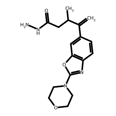 C=C(c1ccc2nc(N3CCOCC3)oc2c1)C(C)CC(=O)NN